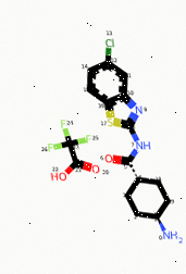 N[C@H]1CC[C@H](C(=O)Nc2nc3cc(Cl)ccc3s2)CC1.O=C(O)C(F)(F)F